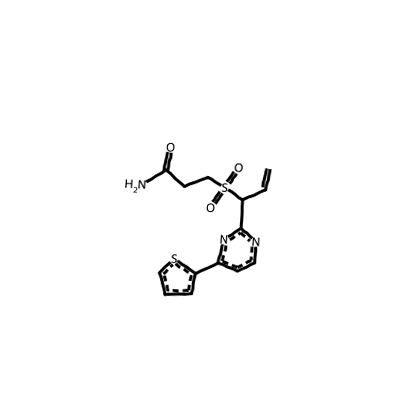 C=CC(c1nccc(-c2cccs2)n1)S(=O)(=O)CCC(N)=O